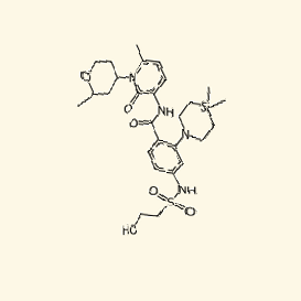 Cc1ccc(NC(=O)c2ccc(NS(=O)(=O)CCO)cc2N2CC[Si](C)(C)CC2)c(=O)n1C1CCOC(C)C1